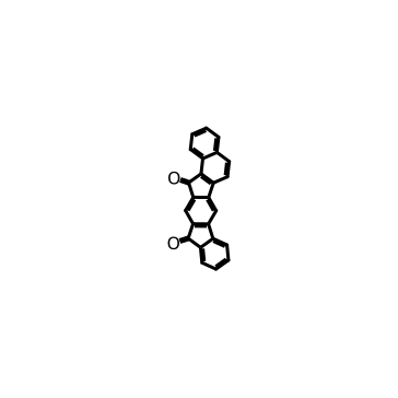 O=c1c2ccccc2c2cc3c(cc12)c(=O)c1c2ccccc2ccc31